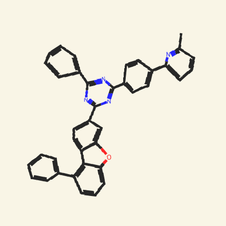 Cc1cccc(-c2ccc(-c3nc(-c4ccccc4)nc(-c4ccc5c(c4)oc4cccc(-c6ccccc6)c45)n3)cc2)n1